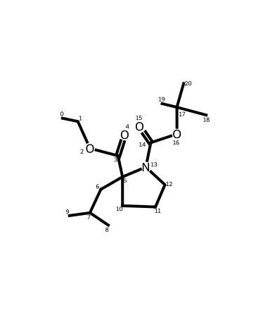 CCOC(=O)C1(CC(C)C)CCCN1C(=O)OC(C)(C)C